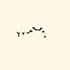 CC(C)NC(=O)NCc1nc(-c2csc(N=C(N)N)n2)cs1